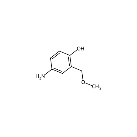 COCc1cc(N)ccc1O